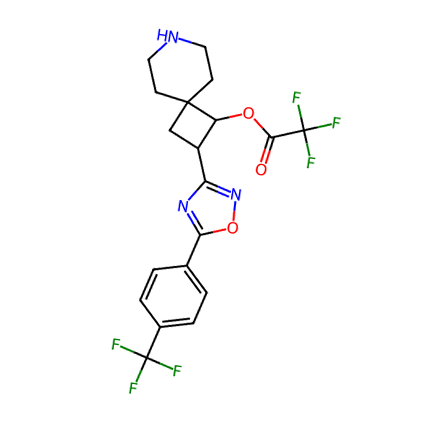 O=C(OC1C(c2noc(-c3ccc(C(F)(F)F)cc3)n2)CC12CCNCC2)C(F)(F)F